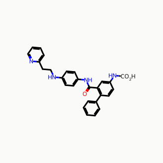 O=C(O)Nc1ccc(-c2ccccc2)c(C(=O)Nc2ccc(NCCc3ccccn3)cc2)c1